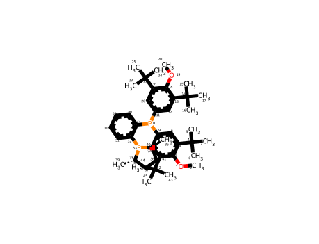 COc1c(C(C)(C)C)cc(P(c2cc(C(C)(C)C)c(OC)c(C(C)(C)C)c2)c2ccccc2P2[C@@H](C)CC[C@@H]2C)cc1C(C)(C)C